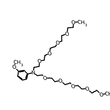 COCCOCCOCCOCCOCCN(CCOCCOCCOCCOCCOC)c1cccc(OC)c1